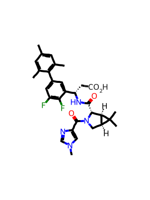 Cc1cc(C)c(-c2cc(F)c(F)c([C@H](CC(=O)O)NC(=O)[C@@H]3[C@@H]4[C@H](CN3C(=O)c3cn(C)cn3)C4(C)C)c2)c(C)c1